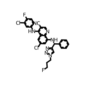 N#Cc1cnc2c(N[C@@H](c3ccccc3)c3cn(CCCF)nn3)cc(Cl)cc2c1Nc1ccc(F)c(Cl)c1